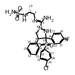 C[C@H](CN=C(N)N1CC(c2ccccc2)C(c2ccc(F)cc2)(S(=O)(=O)c2ccc(Cl)cc2)N1)NS(N)(=O)=O